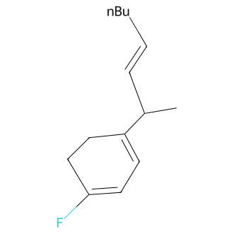 CCCC/C=C/C(C)C1=CC=C(F)CC1